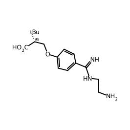 CC(C)(C)[C@H](COc1ccc(C(=N)NCCN)cc1)C(=O)O